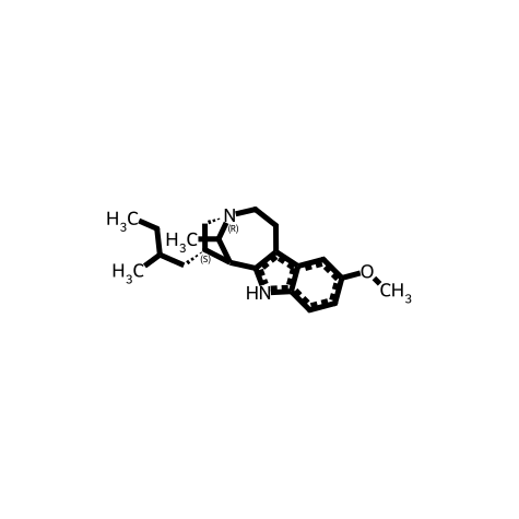 CCC(C)C[C@@H]1C[N@]2CCc3c([nH]c4ccc(OC)cc34)C1C2C